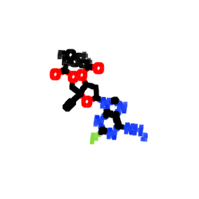 C#CC1(COC(=O)CCCCCCCC)OC(n2cnc3c(N)nc(F)nc32)CC1OC(=O)CCCCCCCC